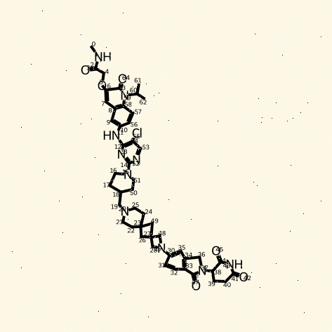 CNC(=O)COc1cc2cc(Nc3nc(N4CCC(CN5CCC6(CC5)CC5(CN(c7ccc8c(c7)CN(C7CCC(=O)NC7=O)C8=O)C5)C6)CC4)ncc3Cl)ccc2n(C(C)C)c1=O